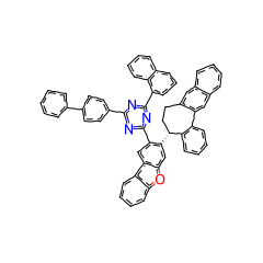 c1ccc(-c2ccc(-c3nc(-c4cc5c(cc4[C@@H]4CCc6cc7ccccc7cc6-c6ccccc64)oc4ccccc45)nc(-c4cccc5ccccc45)n3)cc2)cc1